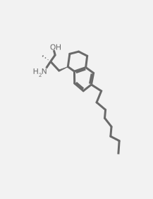 CCCCCCCCc1ccc2c(c1)CCC[C@@H]2C[C@@](C)(N)CO